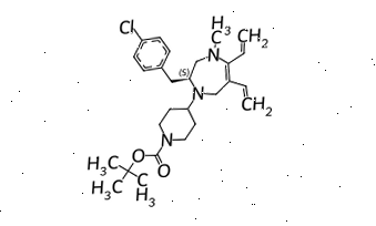 C=CC1=C(C=C)N(C)C[C@H](Cc2ccc(Cl)cc2)N(C2CCN(C(=O)OC(C)(C)C)CC2)C1